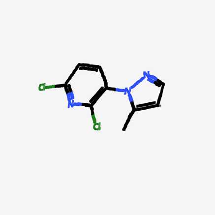 Cc1[c]cnn1-c1ccc(Cl)nc1Cl